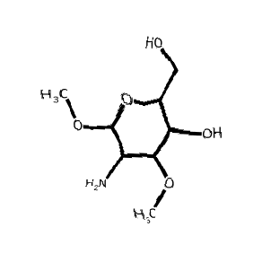 COC1OC(CO)C(O)C(OC)C1N